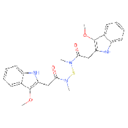 COc1c(CC(=O)N(C)SN(C)C(=O)Cc2[nH]c3ccccc3c2OC)[nH]c2ccccc12